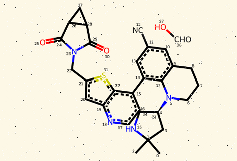 CC1(C)C[C@H](N2CCCc3cc(C#N)cc(-c4ccnc5cc(CN6C(=O)C7CC7C6=O)sc45)c32)CN1.O=CO